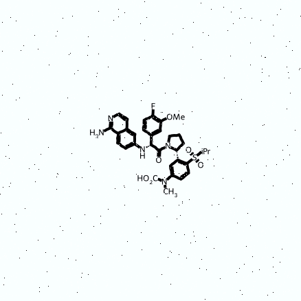 COc1cc([C@@H](Nc2ccc3c(N)nccc3c2)C(=O)N2CCC[C@@H]2c2cc(N(C)C(=O)O)ccc2S(=O)(=O)C(C)C)ccc1F